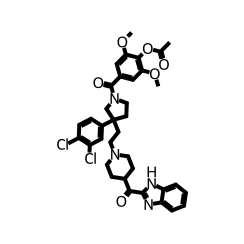 COc1cc(C(=O)N2CCC(CCN3CCC(C(=O)c4nc5ccccc5[nH]4)CC3)(c3ccc(Cl)c(Cl)c3)C2)cc(OC)c1OC(C)=O